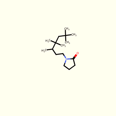 CC(CCN1CCCC1=O)C(C)(C)CC(C)(C)C